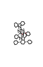 c1ccc(-c2nc(-c3ccccc3-n3c4ccccc4c4c(-c5ccccc5)ccc(-c5ccccc5)c43)nc(-n3c4ccccc4c4ccccc43)n2)cc1